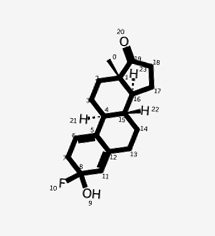 C[C@]12CC[C@@H]3C4=CCC(O)(F)C=C4CC[C@H]3[C@@H]1CCC2=O